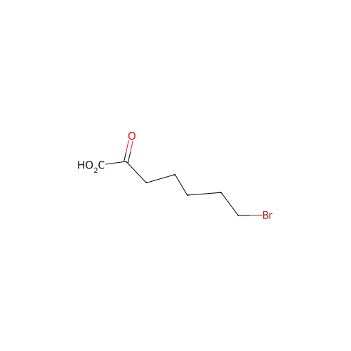 O=C(O)C(=O)CCCCCBr